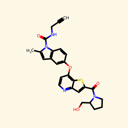 C#CCNC(=O)n1c(C)cc2cc(Oc3ccnc4cc(C(=O)N5CCCC5CO)sc34)ccc21